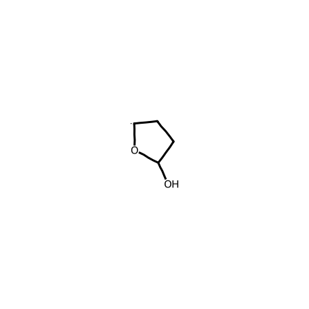 OC1CC[CH]O1